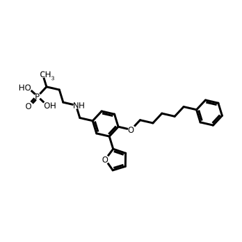 CC(CCNCc1ccc(OCCCCCc2ccccc2)c(-c2ccco2)c1)P(=O)(O)O